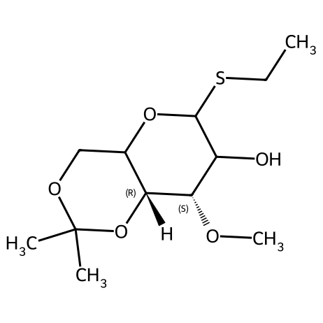 CCSC1OC2COC(C)(C)O[C@H]2[C@@H](OC)C1O